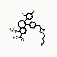 COc1c(C(=O)O)ccc2c1CCCC(c1ccc(F)cc1F)=C2c1ccc(CC2CN(CCCF)C2)cc1